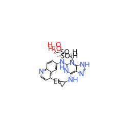 CCc1ccnc2ccc(Nc3nc(NC4CC4)c4nc[nH]c4n3)cc12.CS(=O)(=O)O.CS(=O)(=O)O.O.O